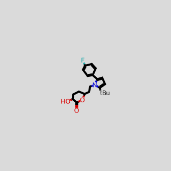 CC(C)(C)c1ccc(-c2ccc(F)cc2)n1CCC1CCC(O)C(=O)O1